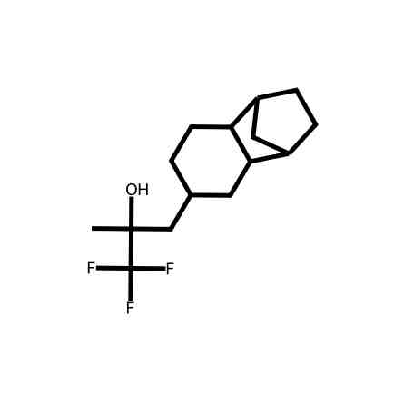 CC(O)(CC1CCC2C3CCC(C3)C2C1)C(F)(F)F